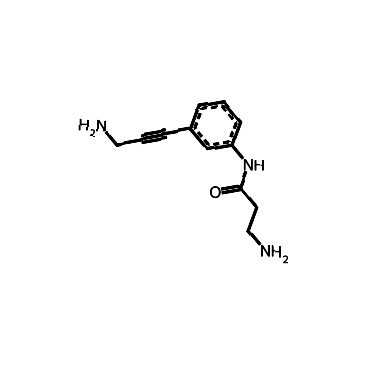 NCC#Cc1cccc(NC(=O)CCN)c1